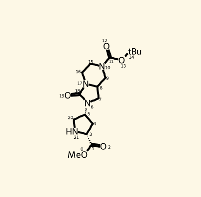 COC(=O)[C@H]1C[C@@H](N2CC3CN(C(=O)OC(C)(C)C)CCN3C2=O)CN1